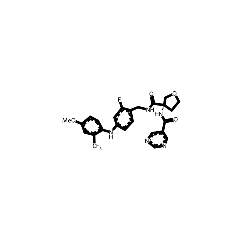 COc1ccc(Nc2ccc(CNC(=O)[C@]3(NC(=O)c4cncnc4)CCOC3)c(F)c2)c(C(F)(F)F)c1